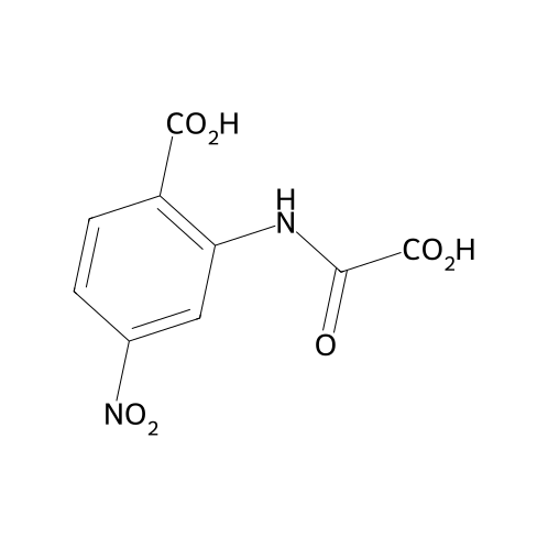 O=C(O)C(=O)Nc1cc([N+](=O)[O-])ccc1C(=O)O